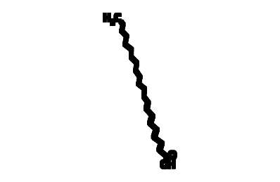 CCCCCCCCCCCCCC=CC=CC=CC=CC(=O)O